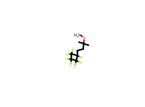 CC(C)(CCC1(F)C(F)(F)C(F)(F)C1(F)F)O[SiH3]